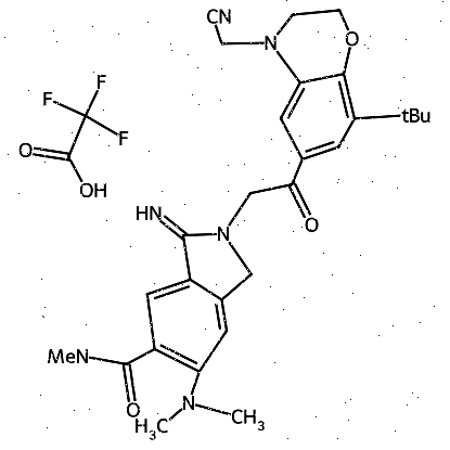 CNC(=O)c1cc2c(cc1N(C)C)CN(CC(=O)c1cc3c(c(C(C)(C)C)c1)OCCN3CC#N)C2=N.O=C(O)C(F)(F)F